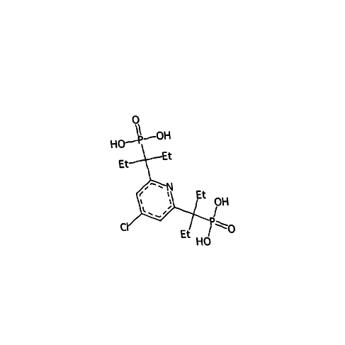 CCC(CC)(c1cc(Cl)cc(C(CC)(CC)P(=O)(O)O)n1)P(=O)(O)O